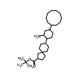 CC(C)(C)OC(=O)N1CCC2(CCN(C3CCN(C4CCCCCCCCC4)CC3N)CC2)C1